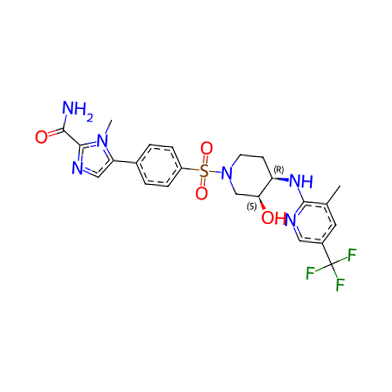 Cc1cc(C(F)(F)F)cnc1N[C@@H]1CCN(S(=O)(=O)c2ccc(-c3cnc(C(N)=O)n3C)cc2)C[C@@H]1O